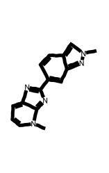 Cn1cc2ccc(-c3nc4cccn(C)c-4n3)cc2n1